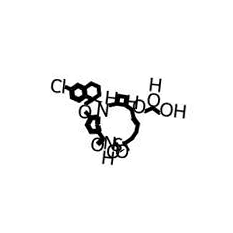 C[C@@H]1CC/C=C/[C@H](OC[C@@H](O)CO)[C@@H]2CC[C@H]2CN2C[C@@]3(CCCc4cc(Cl)ccc43)COc3ccc(cc32)C(=O)NS1(=O)=O